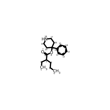 CCCC(CC)C(=O)OC1(c2ccccc2)CCNCC1